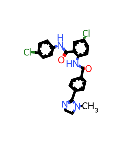 CN1CCN=C1c1ccc(C(=O)Nc2ccc(Cl)cc2C(=O)Nc2ccc(Cl)cc2)cc1